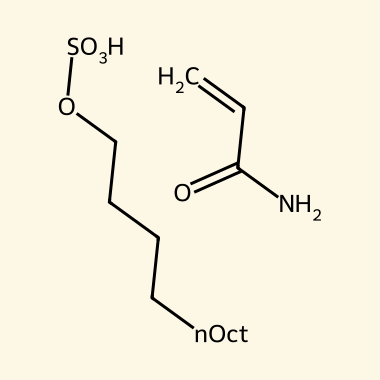 C=CC(N)=O.CCCCCCCCCCCCOS(=O)(=O)O